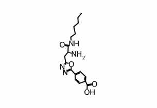 CCCCCCNC(=O)[C@@H](N)Cc1nnc(-c2ccc(C(=O)O)cc2)o1